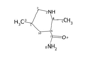 CC1CNC(C)C(C(N)=O)C1